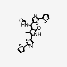 CC1=C(c2cnc(-c3cccs3)s2)NC(=O)/C1=C(/NC=O)c1cnc(-c2cccs2)s1